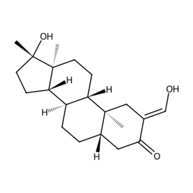 C[C@]12C/C(=C\O)C(=O)C[C@@H]1CC[C@@H]1[C@@H]2CC[C@@]2(C)[C@H]1CC[C@]2(C)O